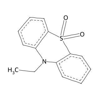 CCN1c2ccccc2S(=O)(=O)c2ccccc21